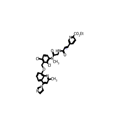 CCOC(=O)c1ccc(/C=C/C(=O)NCC(=O)N(C)c2ccc(Cl)c(COc3cccc4c(-n5ccnc5)cc(C)nc34)c2Cl)cn1